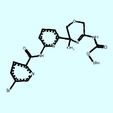 CC(C)(C)OC(=O)NC1=NC(C)(c2cccc(NC(=O)c3ccc(Br)cn3)n2)COC1